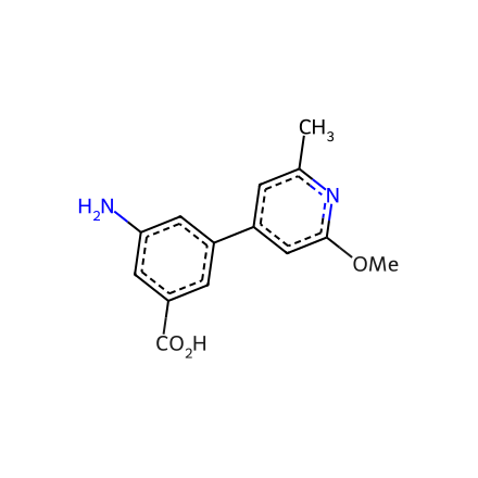 COc1cc(-c2cc(N)cc(C(=O)O)c2)cc(C)n1